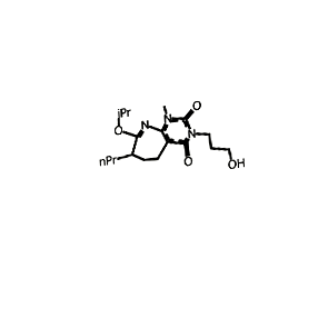 CCCC1CCc2c(n(C)c(=O)n(CCCO)c2=O)N=C1OC(C)C